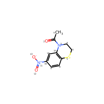 CC(=O)N1CCSc2ccc([N+](=O)[O-])cc21